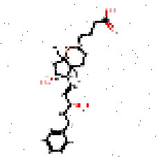 O=C(O)CCC[C@H]1CC[C@@H]2[C@@H](/C=C/[C@@H](O)CCc3ccccc3)[C@H](O)C[C@@H]2S1